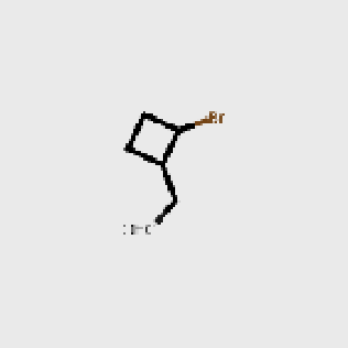 O=CCC1CCC1Br